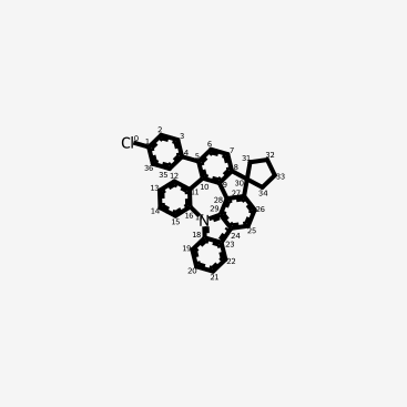 Clc1ccc(-c2ccc3c4c2-c2ccccc2-n2c5ccccc5c5ccc(c-4c52)C32CCCC2)cc1